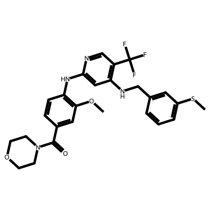 COc1cc(C(=O)N2CCOCC2)ccc1Nc1cc(NCc2cccc(SC)c2)c(C(F)(F)F)cn1